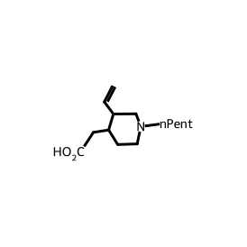 C=CC1CN(CCCCC)CCC1CC(=O)O